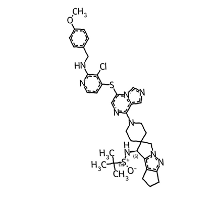 COc1ccc(CNc2nccc(Sc3cnc(N4CCC5(CC4)Cn4nc6c(c4[C@H]5N[S@+]([O-])C(C)(C)C)CCC6)c4cncn34)c2Cl)cc1